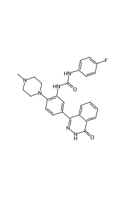 CN1CCN(c2ccc(-c3n[nH]c(=O)c4ccccc34)cc2NC(=O)Nc2ccc(F)cc2)CC1